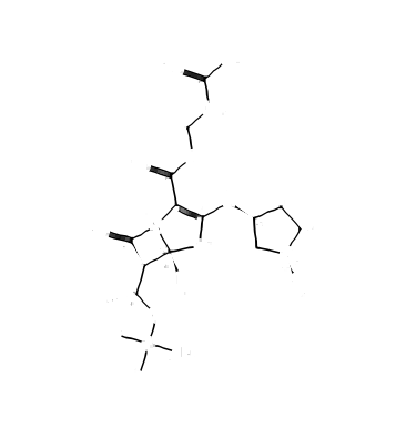 C[C@@H](O[Si](C)(C)C(C)(C)C)[C@H]1C(=O)N2C(C(=O)OCOC(=O)C(C)(C)C)=C(S[C@H]3CC[S@@+]([O-])C3)S[C@H]12